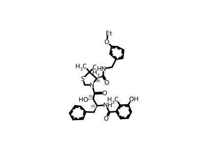 CCOc1cccc(CNC(=O)[C@H]2N(C(=O)[C@@H](O)[C@H](Cc3ccccc3)NC(=O)c3cccc(O)c3C)CSC2(C)C)c1